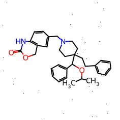 CC(C)OC(c1ccccc1)C1(CCc2ccccc2)CCN(Cc2ccc3c(c2)COC(=O)N3)CC1